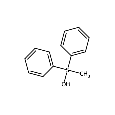 CS(O)(c1ccccc1)c1ccccc1